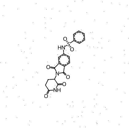 O=C1CCC(N2C(=O)c3ccc(NS(=O)(=O)c4ccccc4)cc3C2=O)C(=O)N1